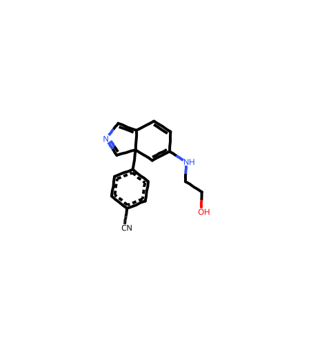 N#Cc1ccc(C23C=NC=C2C=CC(NCCO)=C3)cc1